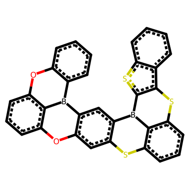 c1ccc2c(c1)Oc1cccc3c1B2c1cc2c(cc1O3)Sc1cccc3c1B2c1sc2ccccc2c1S3